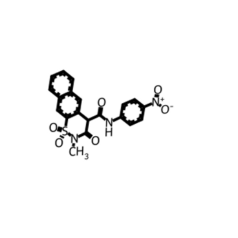 CN1C(=O)C(C(=O)Nc2ccc([N+](=O)[O-])cc2)c2cc3ccccc3cc2S1(=O)=O